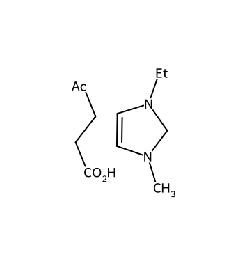 CC(=O)CCC(=O)O.CCN1C=CN(C)C1